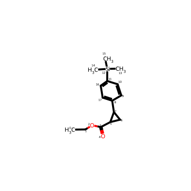 CCOC(=O)C1CC1c1ccc([Si](C)(C)C)cc1